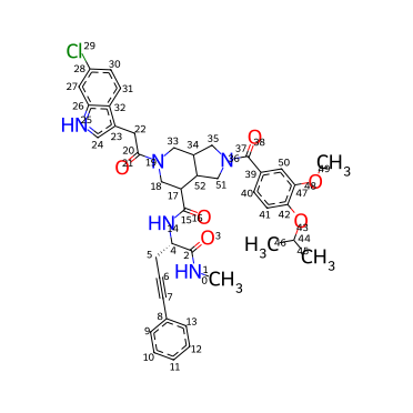 CNC(=O)[C@H](CC#Cc1ccccc1)NC(=O)C1CN(C(=O)Cc2c[nH]c3cc(Cl)ccc23)CC2CN(C(=O)c3ccc(OC(C)C)c(OC)c3)CC21